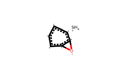 [SiH4].c1ccc2c(c1)O2